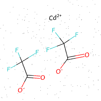 O=C([O-])C(F)(F)F.O=C([O-])C(F)(F)F.[Cd+2]